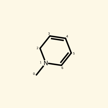 CN1[CH]C=CC=C1